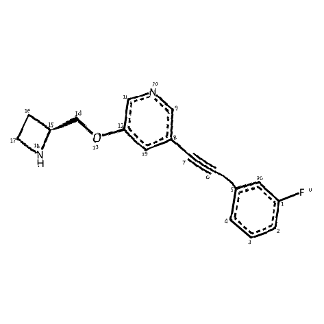 Fc1cccc(C#Cc2cncc(OC[C@@H]3CCN3)c2)c1